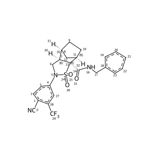 N#Cc1ccc(N2C[C@H]3[C@H]4CC[C@H](C4)[C@@]3(C(=O)NCc3ccccc3)S2(=O)=O)cc1C(F)(F)F